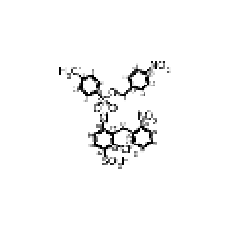 Cc1ccc(S(=O)(=O)OCc2ccc([N+](=O)[O-])cc2)cc1.O=[N+]([O-])c1ccccc1Cc1c(Cl)ccc(S(=O)(=O)O)c1C(F)(F)F